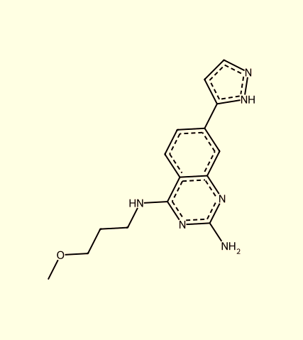 COCCCNc1nc(N)nc2cc(-c3ccn[nH]3)ccc12